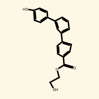 O=C(OCCO)c1ccc(-c2cccc(-c3ccc(O)cc3)c2)cc1